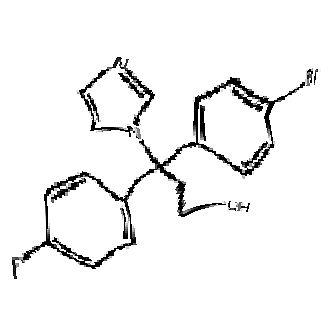 OCC(c1ccc(F)cc1)(c1ccc(Br)cc1)n1ccnc1